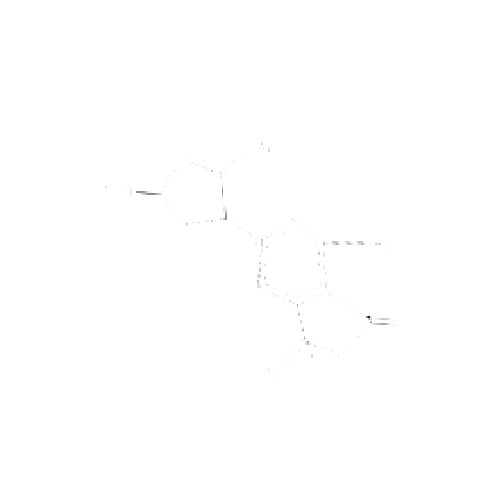 CC(=O)OC1CC(c2cc3c(c(C(C)(C)C)c2)C(=O)OC3=O)C(OC(C)=O)O1